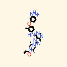 C=CC(=O)N1C[C@@H](C)N(c2ncc3ncnc(Nc4ccc(Oc5ccc6c(c5)nnn6C)c(C)c4)c3n2)C[C@H]1C